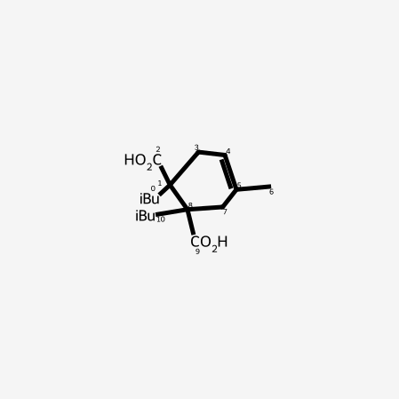 CCC(C)C1(C(=O)O)CC=C(C)CC1(C(=O)O)C(C)CC